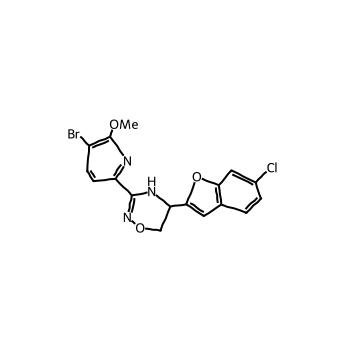 COc1nc(C2=NOCC(c3cc4ccc(Cl)cc4o3)N2)ccc1Br